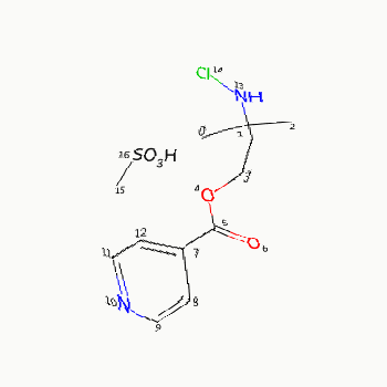 CC(C)(COC(=O)c1ccncc1)NCl.CS(=O)(=O)O